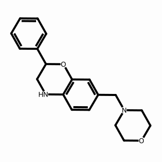 c1ccc(C2CNc3ccc(CN4CCOCC4)cc3O2)cc1